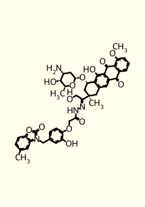 COc1cccc2c1C(=O)c1c(cc3c(c1O)[C@@H](O[C@@H]1C[C@H](N)[C@H](O)[C@H](C)O1)C[C@](C)(C(CO)=NNC(=O)COc1ccc(Cn4c(=O)oc5ccc(C)cc54)cc1O)C3)C2=O